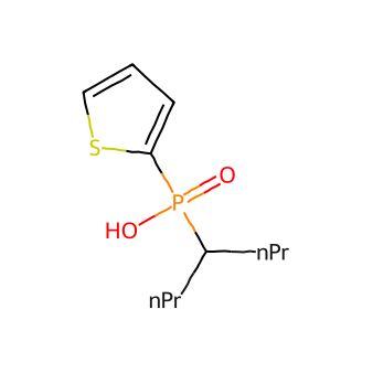 CCCC(CCC)P(=O)(O)c1cccs1